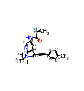 [2H]C([2H])([2H])n1cc(C#Cc2ccc(C(F)(F)F)cc2)c2cc(NC(=O)C(=C)F)cnc21